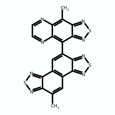 Cc1c2nccnc2c(-c2cc3c(cc(C)c4nsnc43)c3nsnc23)c2nsnc12